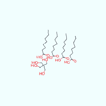 CCCCCCCC(=O)O.CCCCCCCC(=O)O.CCCCCCCC(=O)O.CCCCCCCC(=O)O.OCC(CO)(CO)CO